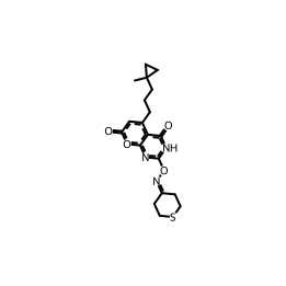 CC1(CCCc2cc(=O)oc3nc(ON=C4CCSCC4)[nH]c(=O)c23)CC1